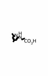 Cc1cc(C)nc(NCCC(=O)O)c1